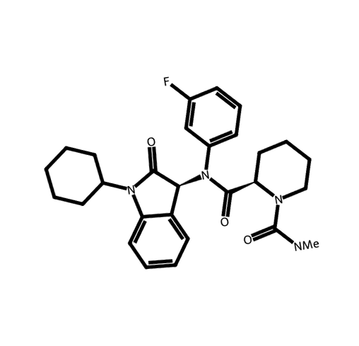 CNC(=O)N1CCCC[C@@H]1C(=O)N(c1cccc(F)c1)[C@@H]1C(=O)N(C2CCCCC2)c2ccccc21